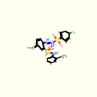 Cc1ccc(NNS(=O)(=O)c2ccc(Cl)cc2)c(S(=O)(=O)Nc2ccccc2C)c1